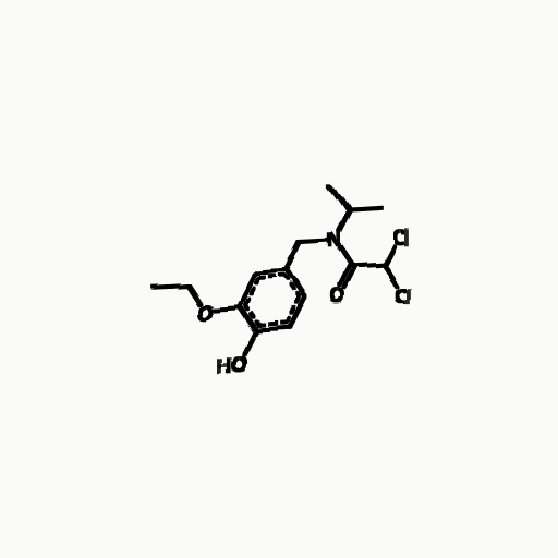 CCOc1cc(CN(C(=O)C(Cl)Cl)C(C)C)ccc1O